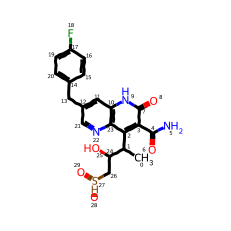 CC(c1c(C(N)=O)c(=O)[nH]c2cc(Cc3ccc(F)cc3)cnc12)C(O)C[SH](=O)=O